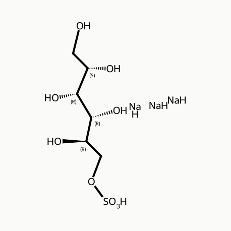 O=S(=O)(O)OC[C@@H](O)[C@@H](O)[C@H](O)[C@@H](O)CO.[NaH].[NaH].[NaH]